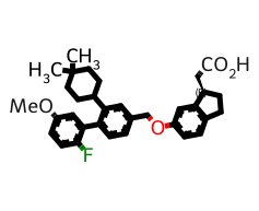 COc1ccc(F)c(-c2ccc(COc3ccc4c(c3)[C@@H](CC(=O)O)CC4)cc2C2CCC(C)(C)CC2)c1